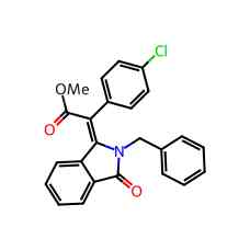 COC(=O)/C(=C1\c2ccccc2C(=O)N1Cc1ccccc1)c1ccc(Cl)cc1